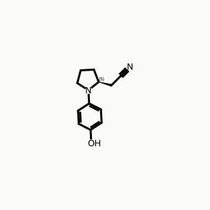 N#CC[C@@H]1CCCN1c1ccc(O)cc1